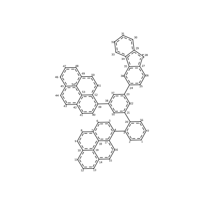 c1ccc(-c2ccc3ccc4cccc5ccc2c3c45)c(-c2cc(-c3ccc4sc5ccccc5c4c3)cc(-c3ccc4ccc5cccc6ccc3c4c56)c2)c1